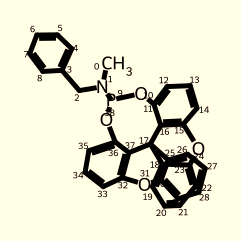 CN(Cc1ccccc1)P1Oc2cccc3c2C2(c4ccccc4O3)c3ccccc3Oc3cccc(c32)O1